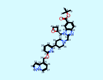 CC(C)(C)OC(=O)c1ccc2nc(CN3CCC(c4cccc(OCc5cccn6nccc56)n4)CC3)n(C[C@@H]3CCO3)c2c1